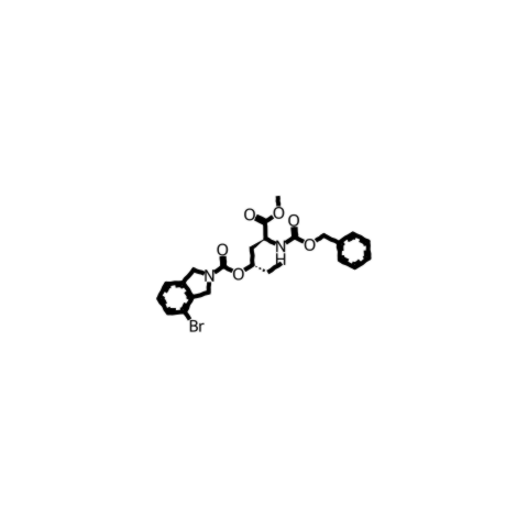 CC[C@@H](C[C@H](NC(=O)OCc1ccccc1)C(=O)OC)OC(=O)N1Cc2cccc(Br)c2C1